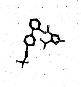 Cn1cc(C(=O)Nc2ccccc2-c2ccc(C#CC(C)(F)F)cc2)c(C(F)F)n1